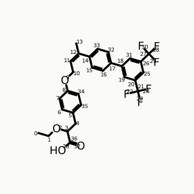 CCOC(Cc1ccc(OCC=C(C)c2ccc(-c3cc(C(F)(F)F)cc(C(F)(F)F)c3)cc2)cc1)C(=O)O